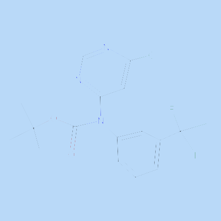 CC(C)(C)OC(=O)N(c1cccc(C(F)(F)F)c1)c1cc(Cl)ncn1